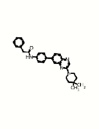 CC1(C)CCN(c2cnc3ccc(-c4ccc(NC(=O)Cc5ccccc5)cc4)cc3n2)CC1